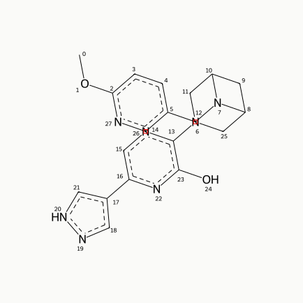 COc1ccc(CN2C3CC2CN(c2ncc(-c4cn[nH]c4)nc2O)C3)cn1